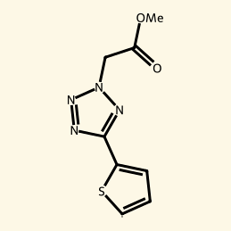 COC(=O)Cn1nnc(-c2cc[c]s2)n1